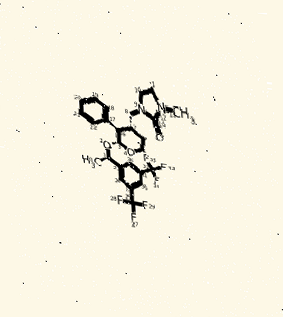 C[C@@H](O[C@H]1OCC[C@@H](CN2CCN(C)C2=O)[C@@H]1c1ccccc1)c1cc(C(F)(F)F)cc(C(F)(F)F)c1